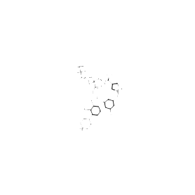 CC(C)(C(=O)N1CC2(CN(C(=O)c3cnn(Cc4cc(F)cc(F)c4)c3)C[C@H]2COCc2cccc(C3CCC(F)(F)CC3)c2C(=O)O)C1)C(F)(F)F